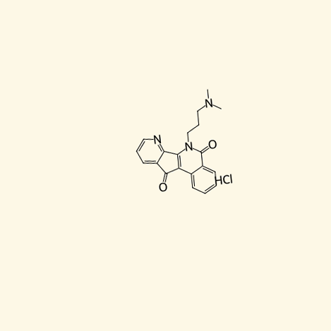 CN(C)CCCn1c2c(c3ccccc3c1=O)C(=O)c1cccnc1-2.Cl